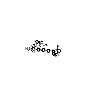 CN1CCN([C@@H]2CCCN(c3cnc(C(N)=O)c(Nc4ccc(C5CCN(C6CCC(n7ccc8c9c(C%10CCC(=O)NC%10=O)noc9ccc87)CC6)CC5)cc4)n3)C2)C1=O